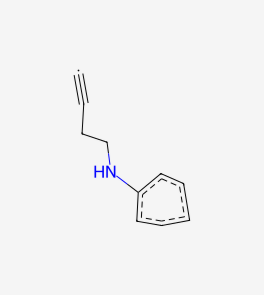 [C]#CCCNc1ccccc1